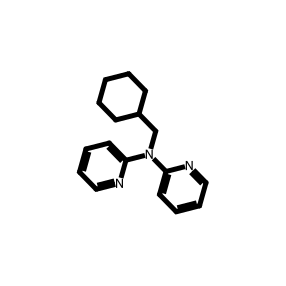 c1ccc(N(CC2CCCCC2)c2ccccn2)nc1